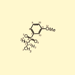 [2H][13C]([2H])(C)S(=O)(=O)c1cccc(OC)c1